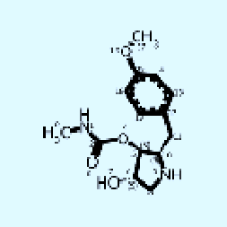 CNC(=O)O[C@@H]1[C@@H](O)CN[C@@H]1Cc1ccc(OC)cc1